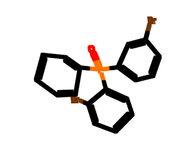 O=P(c1ccccc1)(c1cccc(Br)c1)c1ccccc1Br